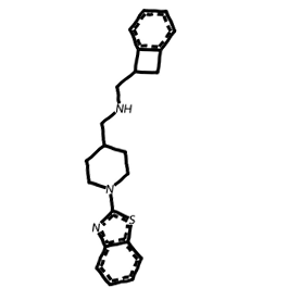 c1ccc2c(c1)CC2CNCC1CCN(c2nc3ccccc3s2)CC1